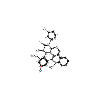 CCOC(=O)c1nccc(-c2c(C)c3ccccc3c3ccc4c(c23)C(c2ccc(C#N)cc2)C(C(C)=O)C(=O)C4c2cccc(C(F)(F)F)c2)n1